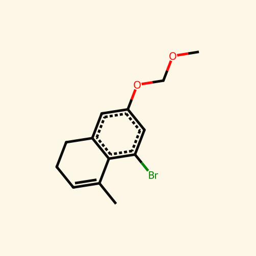 COCOc1cc(Br)c2c(c1)CCC=C2C